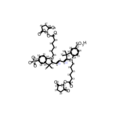 CC1(C)C(/C=C/C=C2/N(CCCCCC(=O)ON3C(=O)CCC3=O)c3ccc(S(=O)(=O)O)cc3C2(C)C)=[N+](CCCCCC(=O)ON2C(=O)CCC2=O)c2ccc(S(=O)(=O)[O-])cc21